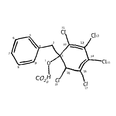 O=C(O)OC1(Cc2ccccc2)C(Cl)=C(Cl)C(Cl)=C(Cl)C1Cl